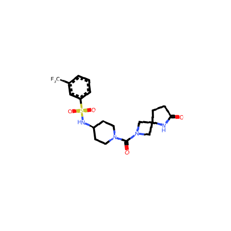 O=C1CCC2(CN(C(=O)N3CCC(NS(=O)(=O)c4cccc(C(F)(F)F)c4)CC3)C2)N1